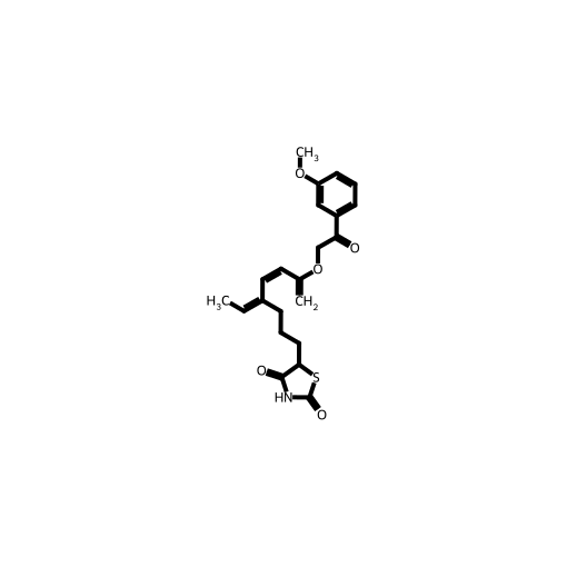 C=C(/C=C\C(=C/C)CCCC1SC(=O)NC1=O)OCC(=O)c1cccc(OC)c1